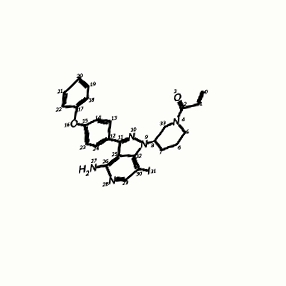 C=CC(=O)N1CCC[C@@H](n2nc(-c3ccc(Oc4ccccc4)cc3)c3c(N)ncc(I)c32)C1